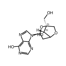 OC[C@@]12COC(C[C@@H](n3cnc4c(O)ncnc43)O1)[C@@H]2O